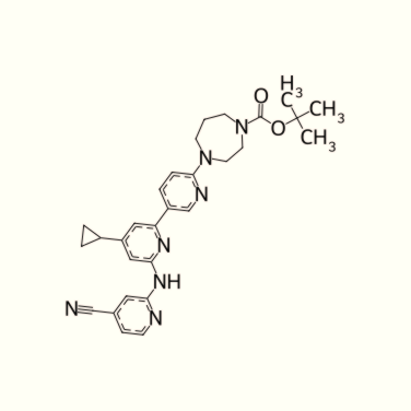 CC(C)(C)OC(=O)N1CCCN(c2ccc(-c3cc(C4CC4)cc(Nc4cc(C#N)ccn4)n3)cn2)CC1